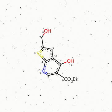 CCOC(=O)c1cnc2sc(CO)cc2c1O